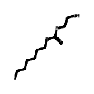 CCCCCCCOC(=O)OCCO